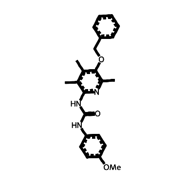 COc1ccc(NC(=O)Nc2nc(C)c(OCc3ccccc3)c(C)c2C)cc1